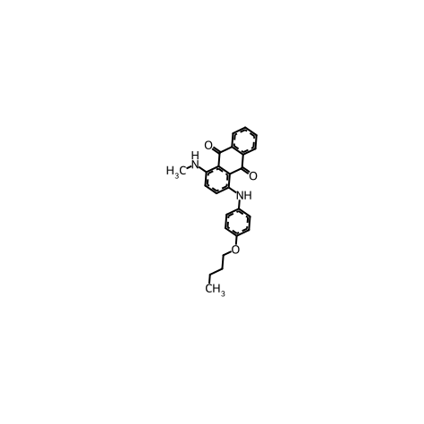 CCCCOc1ccc(Nc2ccc(NC)c3c2C(=O)c2ccccc2C3=O)cc1